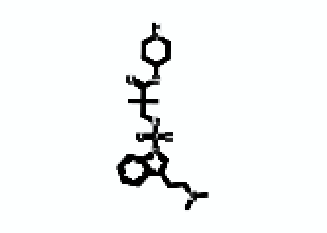 CN(C)CCc1cn(S(=O)(=O)OCC(C)(C)C(=O)OC2CCNCC2)c2ccccc12